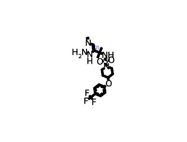 C=N/C=C(\NN)C(C)(C)NS(=O)(=O)N1CCC(Oc2ccc(C(F)(F)F)cc2)CC1